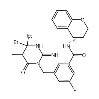 CCC1(CC)NC(=N)N(Cc2cc(F)cc(C(=O)N[C@H]3CCOc4ccccc43)c2)C(=O)C1C